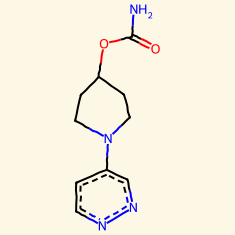 NC(=O)OC1CCN(c2ccnnc2)CC1